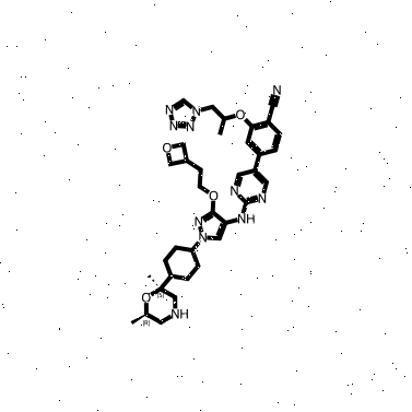 CC(Cn1cnnn1)Oc1cc(-c2cnc(Nc3cn(C4CCC([C@@]5(C)CNC[C@@H](C)O5)CC4)nc3OCCC3COC3)nc2)ccc1C#N